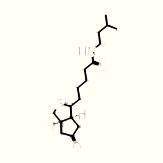 CC(C)CCNC(=O)CCCCC1SC[C@H]2CC(=O)C[C@@H]12